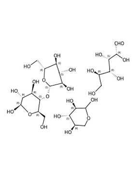 O=C[C@H](O)[C@@H](O)[C@H](O)[C@H](O)CO.OC1OC[C@@H](O)[C@H](O)[C@H]1O.OC[C@H]1O[C@@H](O[C@H]2[C@H](O)[C@@H](O)[C@H](O)O[C@@H]2CO)[C@H](O)[C@@H](O)[C@@H]1O